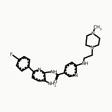 CN1CCN(CCNc2ccc(C(=O)Nc3nc(-c4ccc(F)cc4)ccc3N)cn2)CC1